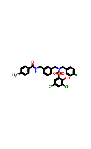 Cc1ccc(C(=O)NCc2cccc(CN(Cc3ccc(F)cc3)S(=O)(=O)c3cc(Cl)cc(Cl)c3O)c2)cc1